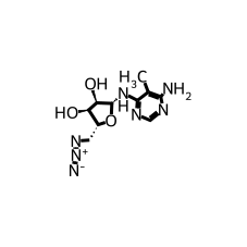 Cc1c(N)ncnc1N[C@@H]1O[C@H](CN=[N+]=[N-])[C@@H](O)[C@H]1O